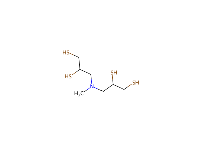 CN(CC(S)CS)CC(S)CS